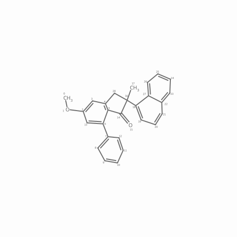 COc1cc2c(c(-c3ccccc3)c1)C(=O)C(C)(c1cccc3ccccc13)C2